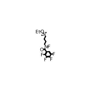 CCO[Si](C)(C)CCCCN(F)C(=O)c1cc(F)c(F)c(F)c1F